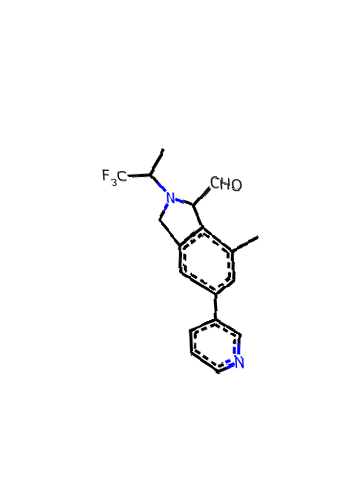 Cc1cc(-c2cccnc2)cc2c1C(C=O)N(C(C)C(F)(F)F)C2